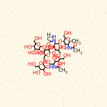 CC(=O)NC(C(O)OC1C(O)[C@H](O)C(CO)O[C@@H]1OCC1O[C@@H](O[C@@H]2C(CO)O[C@@H](O[C@@H]3C(CO)O[C@@H](C)C(NC(C)=O)C3O)C(NC(C)=O)C2O)C(O)C(OC2OC(CO)[C@H](O)C(O)C2O)[C@@H]1O)C(O)[C@H](O)CCO